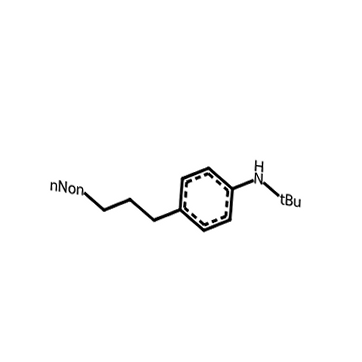 CCCCCCCCCCCCc1ccc(NC(C)(C)C)cc1